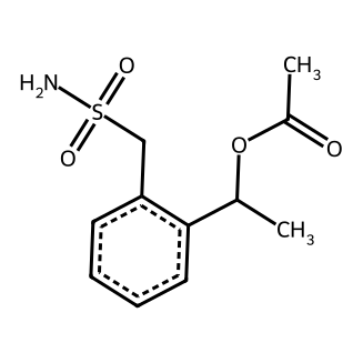 CC(=O)OC(C)c1ccccc1CS(N)(=O)=O